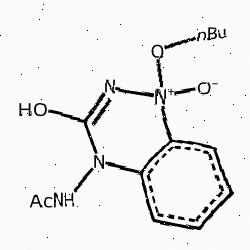 CCCCO[N+]1([O-])N=C(O)N(NC(C)=O)c2ccccc21